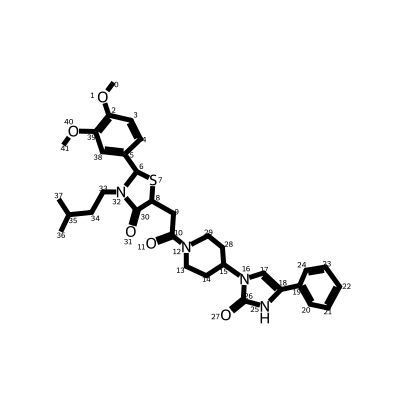 COc1ccc(C2SC(CC(=O)N3CCC(n4cc(-c5ccccc5)[nH]c4=O)CC3)C(=O)N2CCC(C)C)cc1OC